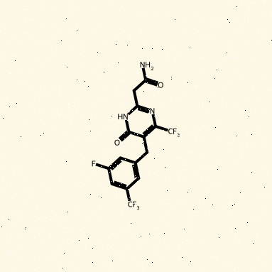 NC(=O)Cc1nc(C(F)(F)F)c(Cc2cc(F)cc(C(F)(F)F)c2)c(=O)[nH]1